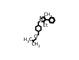 C=C(C)COCC1CCC(Cn2nc(C)c(-c3ccccc3)c2CC)CC1